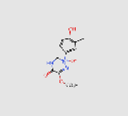 Cc1cc([N+]2([O-])CNC(=O)C(OC(=O)O)=N2)ccc1O